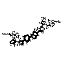 COC(=O)NC(C(=O)N1C[C@@H](C#N)C[C@H]1c1ncc(-c2ccc3cc(-c4ccc(-c5cnc([C@@H]6[C@H]7CC[C@H](C7)N6C(=O)[C@@H](NC(=O)OC)C(C)C)[nH]5)cc4)ccc3c2)[nH]1)C(C)C